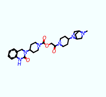 CN1CC2CC1CN2C1CCN(C(=O)COC(=O)N2CCC(N3Cc4ccccc4NC3=O)CC2)CC1